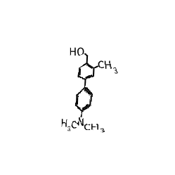 Cc1cc(-c2ccc(N(C)C)cc2)ccc1CO